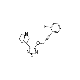 Fc1ccccc1C#CCOc1nsnc1C1CN2CCC1CC2